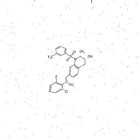 C/C(=C\c1ccc2c(c1)N(S(=O)(=O)c1cccc(C(F)(F)F)c1)[C@H](C)[C@H](O)C2)c1c(F)cccc1Cl